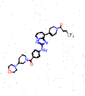 O=C(CCC(F)(F)F)N1CC=C(c2cccn3nc(Nc4ccc(C(=O)N5CCCC(N6CCOCC6)C5)cc4)nc23)CC1